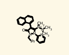 C=[N+](c1c(-c2cccc3ccccc23)c(=O)n(CC(C)C)n1-c1ccccn1)N(C)C